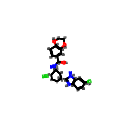 Cl.O=C(N[C@H]1CCC[C@@H](c2nc3ccc(Cl)cc3[nH]2)C1)c1ccc2c(c1)OCCO2